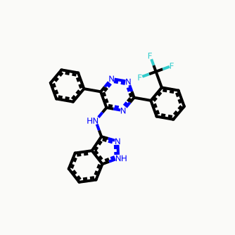 FC(F)(F)c1ccccc1-c1nnc(-c2ccccc2)c(Nc2n[nH]c3ccccc23)n1